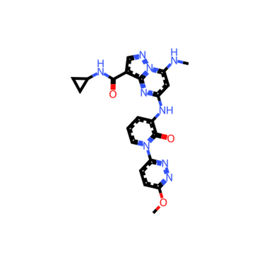 CNc1cc(Nc2cccn(-c3ccc(OC)nn3)c2=O)nc2c(C(=O)NC3CC3)cnn12